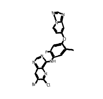 Cc1cc(Nc2ncnc3cc(Br)c(Cl)nc23)c(F)cc1Oc1ccn2ncnc2c1